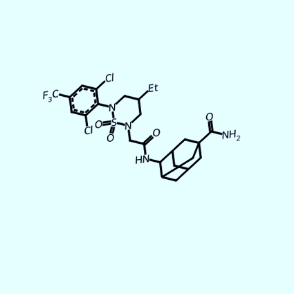 CCC1CN(CC(=O)NC2C3CC4CC2CC(C(N)=O)(C4)C3)S(=O)(=O)N(c2c(Cl)cc(C(F)(F)F)cc2Cl)C1